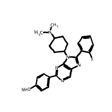 COc1ccc(-c2ncc3nc(-c4ccccc4F)n(C4CCC(N(C)C)CC4)c3n2)cc1